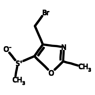 Cc1nc(CBr)c([S+](C)[O-])o1